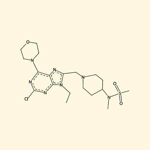 CCn1c(CN2CCC(N(C)S(C)(=O)=O)CC2)nc2c(N3CCOCC3)nc(Cl)nc21